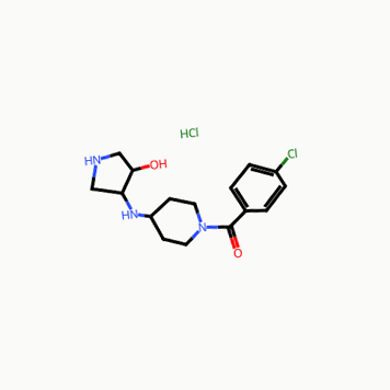 Cl.O=C(c1ccc(Cl)cc1)N1CCC(NC2CNCC2O)CC1